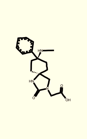 CN[C@]1(c2ccccc2)CC[C@]2(CC1)CN(CC(=O)O)C(=O)N2